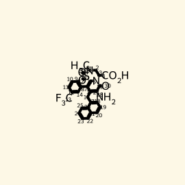 CN1CC(C(=O)O)n2c(c(-c3cccc(C(F)(F)F)c3)c(Cc3cccc4ccccc34)c(N)c2=O)S1(=O)=O